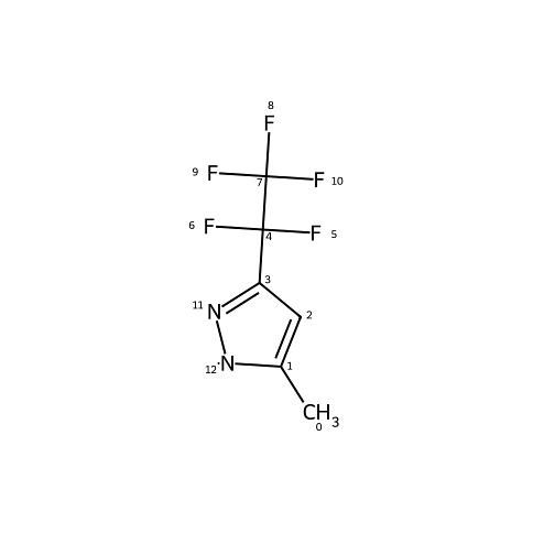 CC1=CC(C(F)(F)C(F)(F)F)=N[N]1